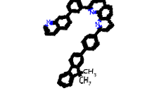 CC1(C)c2ccccc2-c2ccc(-c3ccc(-c4ccc5ccc6ccc(-c7cccc(-c8ccc9cccnc9c8)c7)nc6c5n4)cc3)cc21